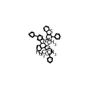 C=C(/C=C\C1SC2=C(C3=C(C=CCC3)C3c4cc(-c5ccccc5)ccc4N(C4(C)CC5=C(SC6C=CC=CC56)C(c5ccccc5)=N4)C23)C1(C)C)c1ccccc1